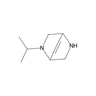 CC(C)N1CC2C=CC1CN2